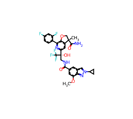 COc1cc(C(=O)NC[C@](O)(c2cc3c(c(-c4ccc(F)cc4F)n2)OC[C@]3(C)C(N)=O)C(F)(F)F)cc2cn(C3CC3)nc12